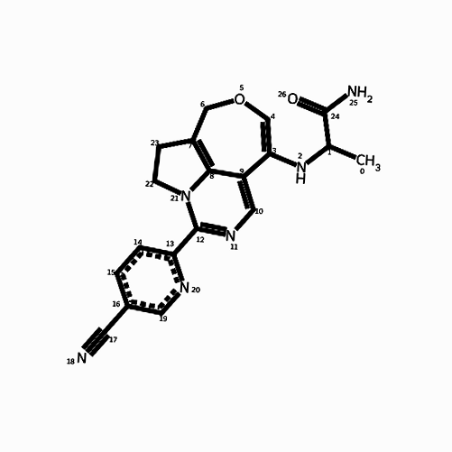 CC(NC1=COCC2=C3C1=CN=C(c1ccc(C#N)cn1)N3CC2)C(N)=O